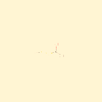 CCSSC(C)O